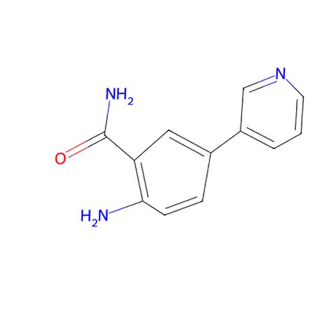 NC(=O)c1cc(-c2cccnc2)ccc1N